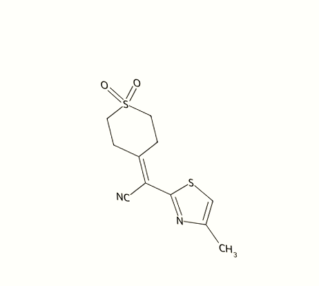 Cc1csc(C(C#N)=C2CCS(=O)(=O)CC2)n1